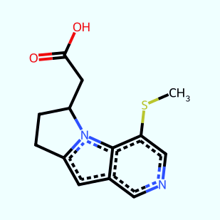 CSc1cncc2cc3n(c12)C(CC(=O)O)CC3